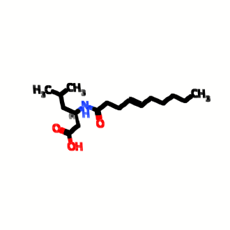 CCCCCC=CCCC(=O)N[C@@H](CC(=O)O)CC(C)C